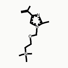 C=C(C)c1cn(COCC[Si](C)(C)C)c(C)n1